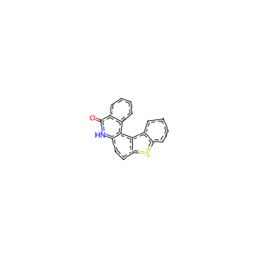 O=c1[nH]c2ccc3sc4ccccc4c3c2c2ccccc12